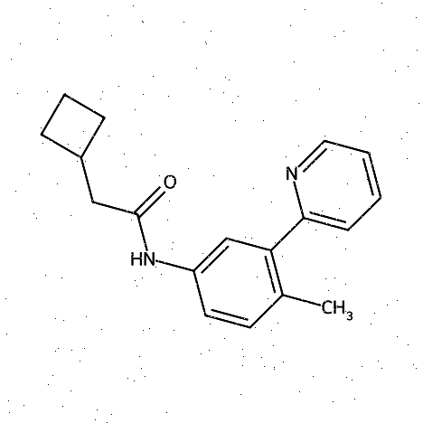 Cc1ccc(NC(=O)CC2CCC2)cc1-c1ccccn1